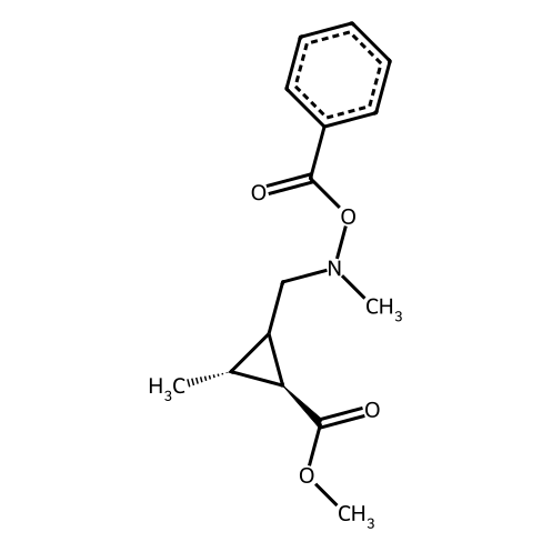 COC(=O)[C@@H]1C(CN(C)OC(=O)c2ccccc2)[C@H]1C